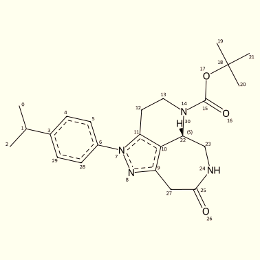 CC(C)c1ccc(-n2nc3c4c2CCN(C(=O)OC(C)(C)C)[C@@H]4CNC(=O)C3)cc1